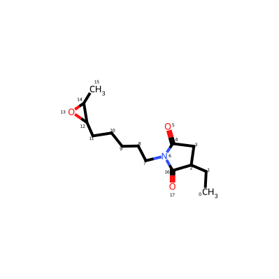 CCC1CC(=O)N(CCCCCC2OC2C)C1=O